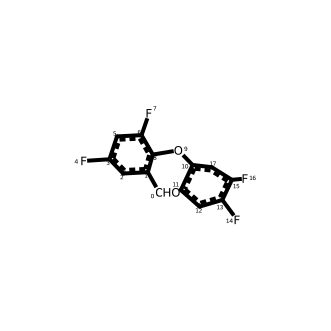 O=Cc1cc(F)cc(F)c1Oc1ccc(F)c(F)c1